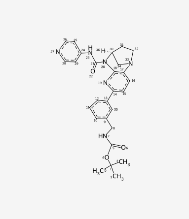 CC(C)(C)OC(=O)NCc1cccc(-c2ccc3c(n2)N(C(=O)Nc2ccncc2)[C@H]2CCN3C2)c1